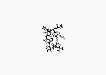 CC[C@H](C)[C@@H]([C@@H](CC(=O)N1CCC[C@H]1[C@H](OC)[C@@H](C)C(=O)N[C@H](C(=O)N[C@@H](CCC(=O)OC(C)(C)C)C(=O)N[C@@H](CN)C(=O)O)[C@@H](C)OC(C)(C)C)OC)N(C)C(=O)[C@@H](NC(=O)[C@H](C(C)C)N(C)C)C(C)C